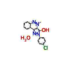 CN1[N]c2ccccc2-c2nn(-c3ccc(Cl)cc3)c(O)c21.O